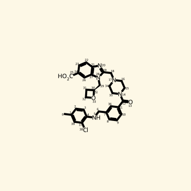 Cc1ccc(NCc2cccc(C(=O)N3CCN(Cc4nc5ccc(C(=O)O)cc5n4C[C@@H]4CCO4)CC3)c2)c(Cl)c1